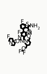 N#Cc1c(N)sc2c(F)ccc(-c3c(Cl)c4c5c(nc(OC[C@@]67CCCN6C[C@H](F)C7)nc5c3F)N3CC(COC(F)F)CCC3CO4)c12